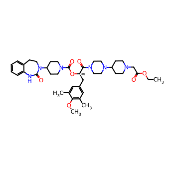 CCOC(=O)CN1CCC(N2CCN(C(=O)[C@@H](Cc3cc(C)c(OC)c(C)c3)OC(=O)N3CCC(N4CCc5ccccc5NC4=O)CC3)CC2)CC1